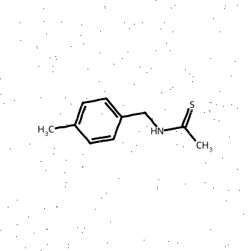 CC(=S)NCc1ccc(C)cc1